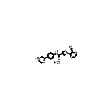 Cl.N#Cc1nccnc1-n1cc(C(=O)Nc2ccc(C3CNCCO3)cc2)cn1